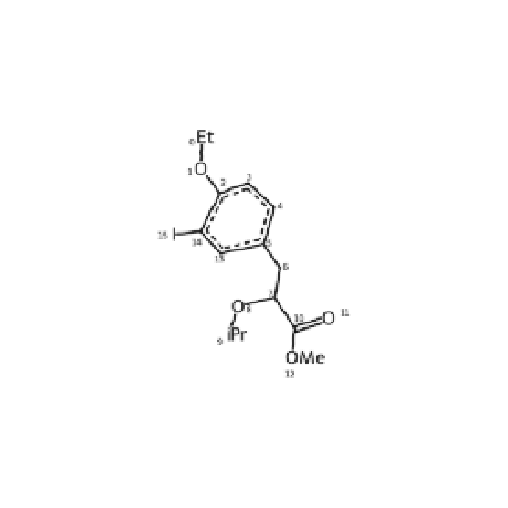 CCOc1ccc(CC(OC(C)C)C(=O)OC)cc1I